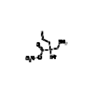 C=CCC(CCC)(C[N+](=O)[O-])C(=O)O[N+](=O)[O-]